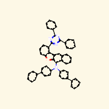 c1ccc(-c2ccc(N(c3ccc(-c4ccccc4)cc3)c3c4ccccc4cc4c3oc3cccc(-c5nc(-c6ccccc6)nc(-c6ccccc6)n5)c34)cc2)cc1